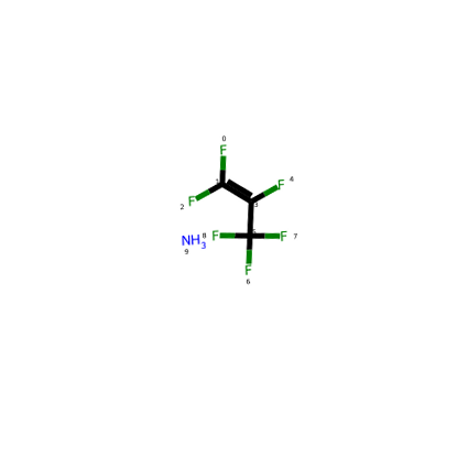 FC(F)=C(F)C(F)(F)F.N